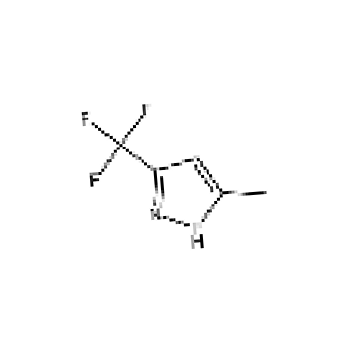 Cc1cc(C(F)(F)F)n[pH]1